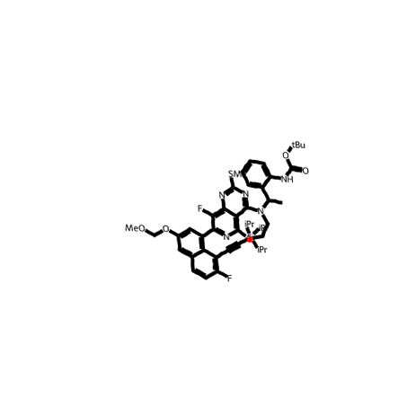 COCOc1cc(-c2nc3c4c(nc(SC)nc4c2F)N(C(C)c2ccccc2NC(=O)OC(C)(C)C)CCO3)c2c(C#C[Si](C(C)C)(C(C)C)C(C)C)c(F)ccc2c1